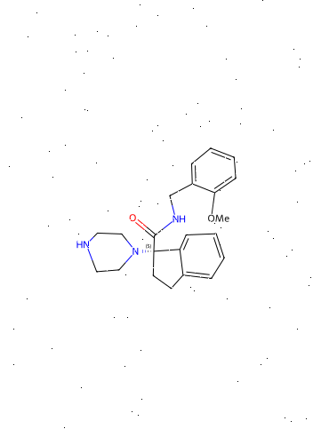 COc1ccccc1CNC(=O)[C@]1(N2CCNCC2)CCc2ccccc21